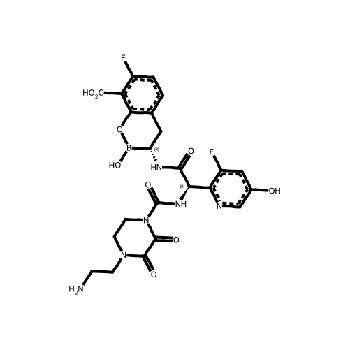 NCCN1CCN(C(=O)N[C@@H](C(=O)N[C@H]2Cc3ccc(F)c(C(=O)O)c3OB2O)c2ncc(O)cc2F)C(=O)C1=O